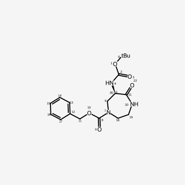 CC(C)(C)OC(=O)N[C@@H]1CN(C(=O)OCc2ccccc2)CCNC1=O